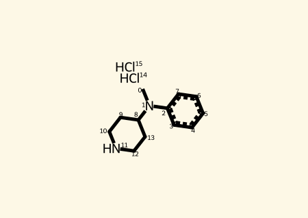 CN(c1ccccc1)C1CCNCC1.Cl.Cl